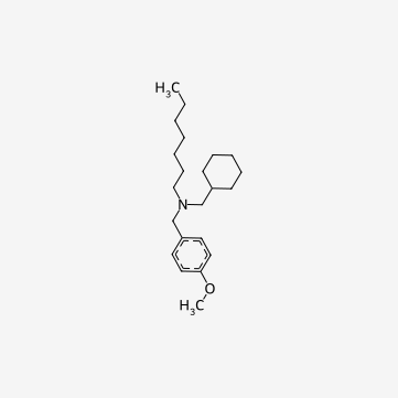 CCCCCCCN(Cc1ccc(OC)cc1)CC1CCCCC1